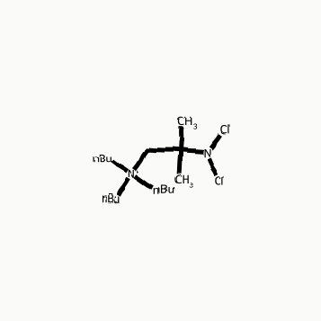 CCCC[N+](CCCC)(CCCC)CC(C)(C)N(Cl)Cl